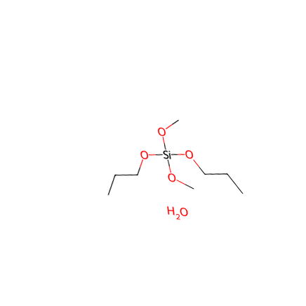 CCCO[Si](OC)(OC)OCCC.O